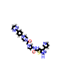 O=C(NC1CCN(CC(=O)N2CCN(c3ccc(-c4ncccn4)cc3)CC2)C1)c1cc2c(-c3cccnc3)n[nH]c2s1